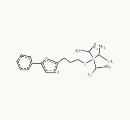 CC(C)[Si](OCCCc1nc(-c2ccccc2)c[nH]1)(C(C)C)C(C)C